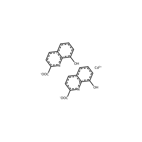 O=C([O-])c1ccc2cccc(O)c2n1.O=C([O-])c1ccc2cccc(O)c2n1.[Cd+2]